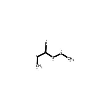 CCC(F)SSC